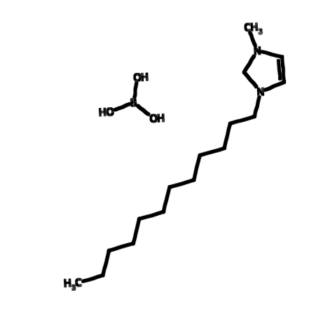 CCCCCCCCCCCCN1C=CN(C)C1.OB(O)O